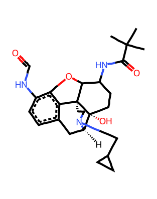 CC(C)(C)C(=O)NC1CC[C@@]2(O)[C@H]3Cc4ccc(NC=O)c5c4[C@@]2(CCN3CC2CC2)C1O5